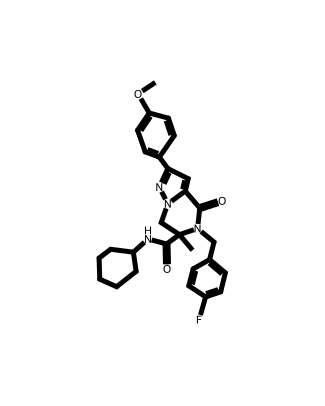 COc1ccc(-c2cc3n(n2)CC(C)(C(=O)NC2CCCCC2)N(Cc2ccc(F)cc2)C3=O)cc1